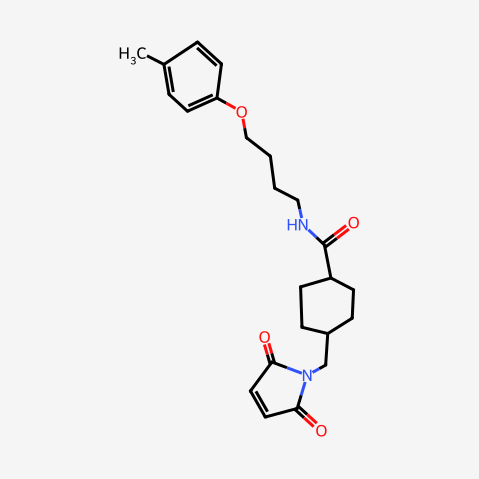 Cc1ccc(OCCCCNC(=O)C2CCC(CN3C(=O)C=CC3=O)CC2)cc1